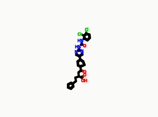 O=C(Nc1ncc(-c2ccc(C(=O)CC(CCc3ccccc3)C(=O)O)cc2)cn1)Nc1cccc(Cl)c1Cl